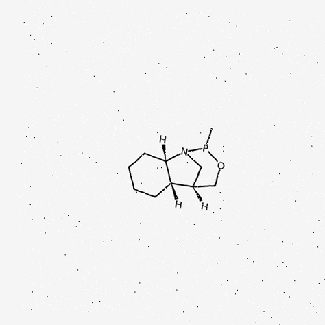 CP1OC[C@H]2CN1[C@H]1CCCC[C@@H]21